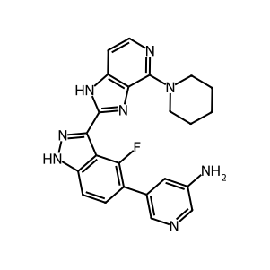 Nc1cncc(-c2ccc3[nH]nc(-c4nc5c(N6CCCCC6)nccc5[nH]4)c3c2F)c1